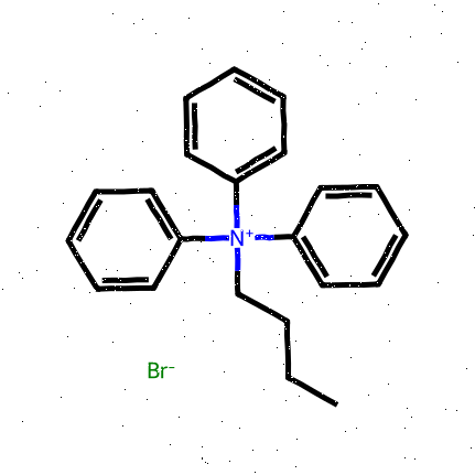 CCCC[N+](c1ccccc1)(c1ccccc1)c1ccccc1.[Br-]